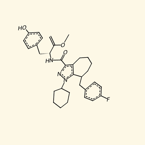 C=C(OC)[C@@H](Cc1ccc(O)cc1)NC(=O)c1nn(C2CCCCC2)c2c1CCCCC2Cc1ccc(F)cc1